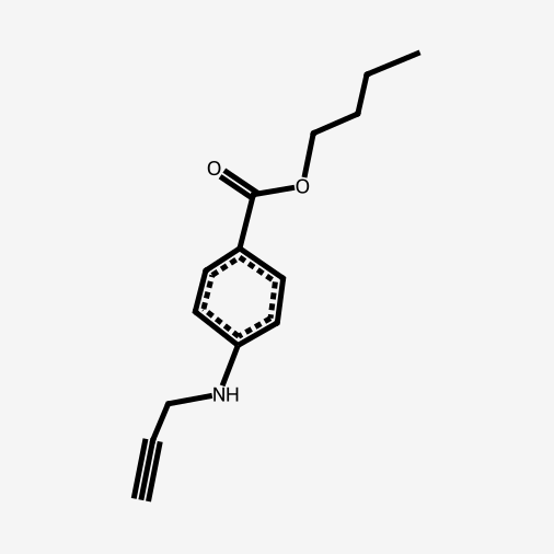 C#CCNc1ccc(C(=O)OCCCC)cc1